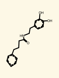 O=C(CCCc1ccccc1)NCCc1ccc(O)c(O)c1